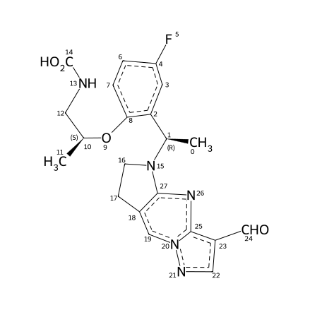 C[C@H](c1cc(F)ccc1O[C@@H](C)CNC(=O)O)N1CCc2cn3ncc(C=O)c3nc21